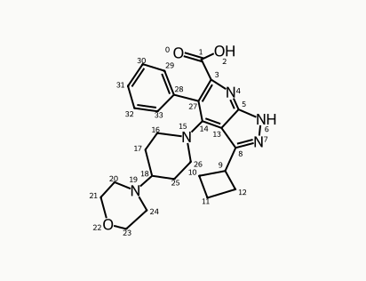 O=C(O)c1nc2[nH]nc(C3CCC3)c2c(N2CCC(N3CCOCC3)CC2)c1-c1ccccc1